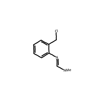 CNC=Nc1ccccc1CCl